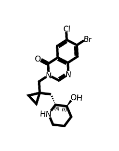 O=c1c2cc(Cl)c(Br)cc2ncn1CC1(C[C@H]2NCCC[C@@H]2O)CC1